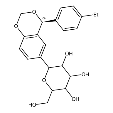 CCc1ccc([C@@H]2OCOc3ccc(C4OC(CO)C(O)C(O)C4O)cc32)cc1